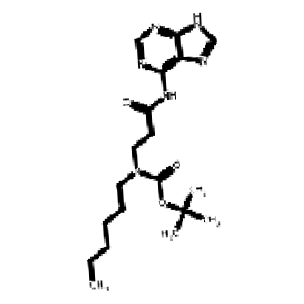 CCCCCCN(CCC(=O)Nc1ncnc2[nH]cnc12)C(=O)OC(C)(C)C